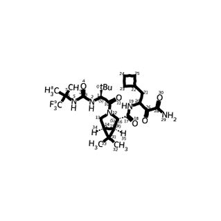 CC(C)(C)[C@H](NC(=O)NC(C)(C)C(F)(F)F)C(=O)N1C[C@H]2[C@@H]([C@H]1C(=O)NC(CC1CCC1)C(=O)C(N)=O)C2(C)C